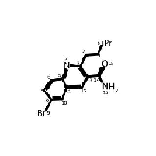 CC(C)CCc1nc2ccc(Br)cc2cc1C(N)=O